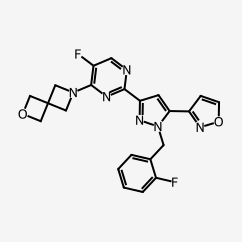 Fc1ccccc1Cn1nc(-c2ncc(F)c(N3CC4(COC4)C3)n2)cc1-c1ccon1